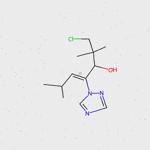 CC(C)/C=C(/C(O)C(C)(C)CCl)n1cncn1